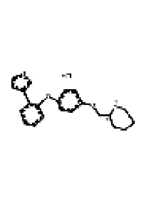 Cl.c1ccc(-c2ccsc2)c(Oc2ccc(OC[C@@H]3CCCCN3)cc2)c1